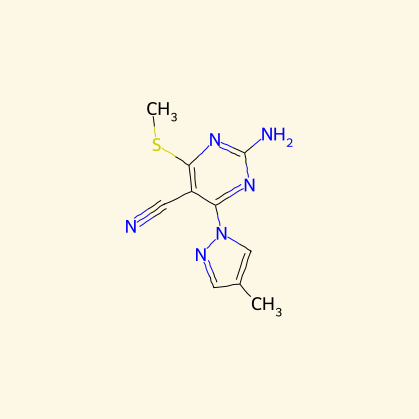 CSc1nc(N)nc(-n2cc(C)cn2)c1C#N